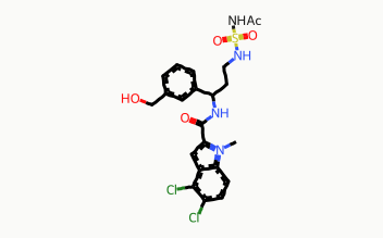 CC(=O)NS(=O)(=O)NCCC(NC(=O)c1cc2c(Cl)c(Cl)ccc2n1C)c1cccc(CO)c1